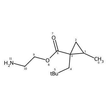 CC1CC1(CC(C)(C)C)C(=O)OCCN